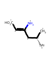 CCC[C@@H](C)C/C(N)=C/C(=O)O